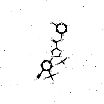 N#Cc1ccc(N2C[C@@H](C(=O)Nc3ccnc(Cl)c3)O[C@@H]2C(F)(F)F)cc1C(F)(F)F